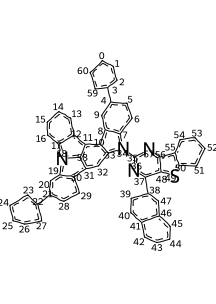 c1ccc(-c2ccc3c(c2)c2c4c5ccccc5n5c6cc(-c7ccccc7)ccc6c(cc2n3-c2nc(-c3ccc6ccccc6c3)c3sc6ccccc6c3n2)c45)cc1